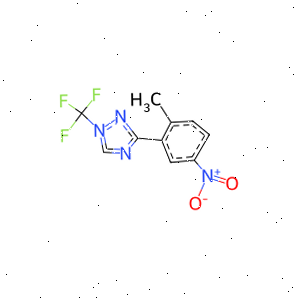 Cc1ccc([N+](=O)[O-])cc1-c1ncn(C(F)(F)F)n1